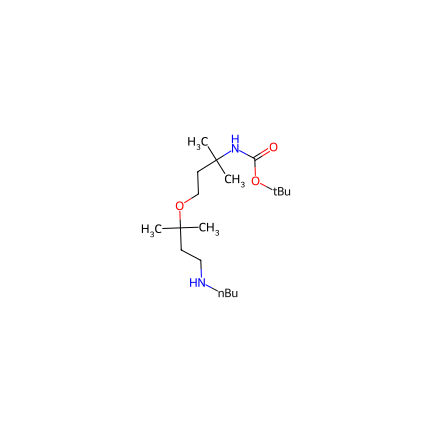 CCCCNCCC(C)(C)OCCC(C)(C)NC(=O)OC(C)(C)C